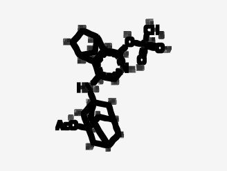 CC(=O)OC12CC3CC(CC(Nc4cnc(OS(C)(=O)=O)c5c4C4CCC5C4)(C3)C1)C2